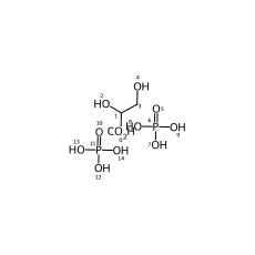 O=C(O)C(O)CO.O=P(O)(O)O.O=P(O)(O)O